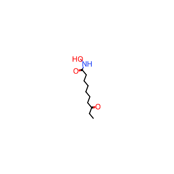 CCC(=O)CCCCCCC(=O)NO